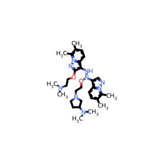 Cc1ccc2c(N(Nc3c(OCCN(C)C)nn4c(C)c(C)ccc34)OCCN3CCC(N(C)C)C3)cnn2c1C